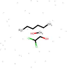 CCCCCC.CO.OCC(Cl)Cl